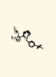 C/N=C/c1[nH]nnc1-c1cccn1Cc1ccc(C(C)(C)C)cc1